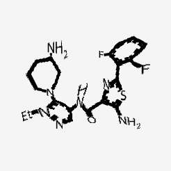 CCn1ncc(NC(=O)c2nc(-c3c(F)cccc3F)sc2N)c1N1CCC[C@H](N)CC1